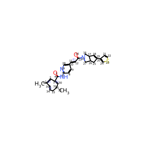 CC1=C/C(C(=O)Nc2ccc(/C=C/C(=O)N3CC4C=C(c5ccsc5)CC4C3)cn2)=C\[C@H](C)C\C=C\1